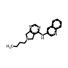 CCCCN1Cc2ncnc(Nc3cnc4ccccc4c3)c2C1